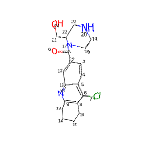 O=C(c1ccc2c(Cl)c3c(nc2c1)CCCC3)N1CCNCC1CO